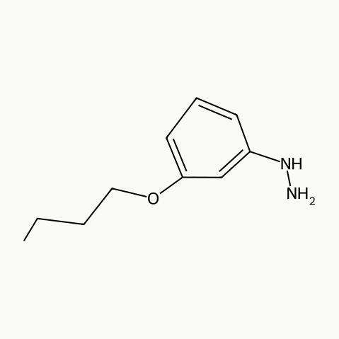 CCCCOc1cccc(NN)c1